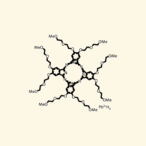 COCCOCCOc1cc2c(cc1OCCOCCOC)-c1nc-2nc2[nH]c(nc3nc(nc4[nH]c(n1)c1cc(OCCOCCOC)c(OCCOCCOC)cc41)-c1cc(OCCOCCOC)c(OCCOCCOC)cc1-3)c1cc(OCCOCCOC)c(OCCOCCOC)cc21.[PbH2+2]